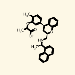 Cc1ccc([C@@H]2C[C@H](CN[C@H](C)c3cccc4ccccc34)Oc3ccccc32)cc1OC(C)C(=O)O